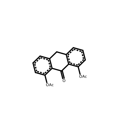 CC(=O)Oc1cccc2c1C(=O)c1c(cccc1OC(C)=O)C2